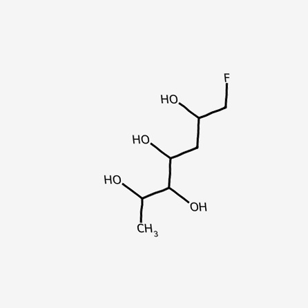 CC(O)C(O)C(O)CC(O)CF